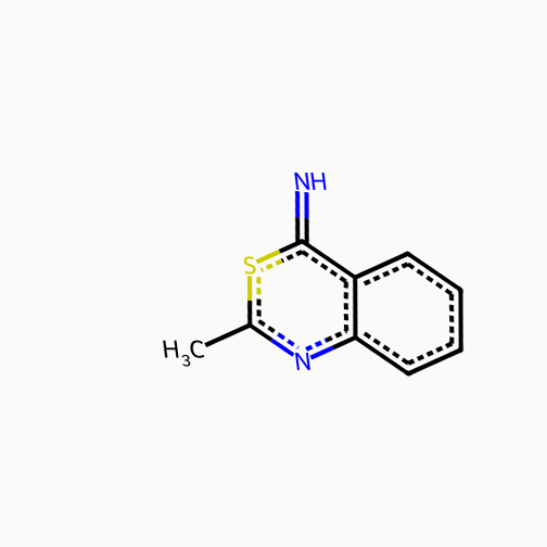 Cc1nc2ccccc2c(=N)s1